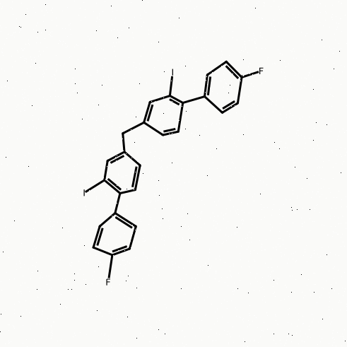 Fc1ccc(-c2ccc(Cc3ccc(-c4ccc(F)cc4)c(I)c3)cc2I)cc1